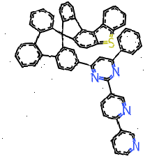 c1ccc(-c2cc(-c3ccc4c(c3)C3(c5ccccc5-c5ccccc5-4)c4ccccc4-c4c3ccc3sc5ccccc5c43)nc(-c3ccc(-c4cccnc4)nc3)n2)cc1